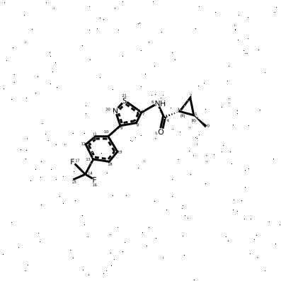 C[C@@H]1C[C@H]1C(=O)Nc1cc(-c2ccc(C(C)(F)F)cc2)ns1